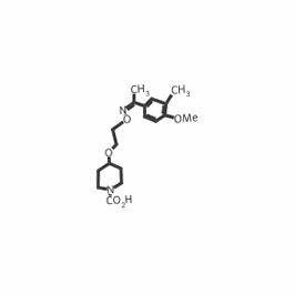 COc1ccc(/C(C)=N\OCCOC2CCN(C(=O)O)CC2)cc1C